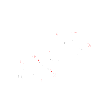 CC[C@H](O)[C@@H](O)[C@@H](O)[C@H](O)[C@H](O)CC1C[C@@H](O)C(O)[C@H]1CO